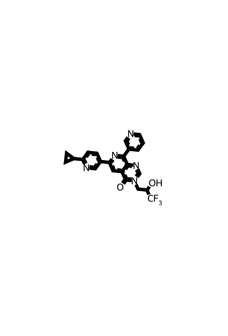 O=c1c2cc(-c3ccc(C4CC4)nc3)nc(-c3cccnc3)c2ncn1CC(O)C(F)(F)F